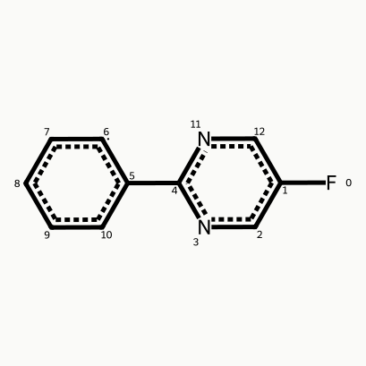 Fc1cnc(-c2[c]cccc2)nc1